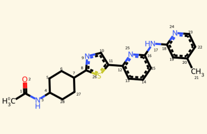 CC(=O)NC1CCC(c2ncc(-c3cccc(Nc4cc(C)ccn4)n3)s2)CC1